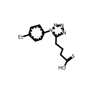 CCc1ccc(-n2nnnc2CCCC(O)=S)cc1